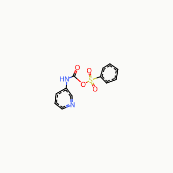 O=C(Nc1cccnc1)OS(=O)(=O)c1ccccc1